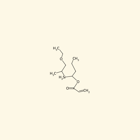 C=CC(=O)OC(CCC)[SiH2]C(C)COCC